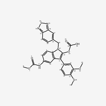 COC(=O)Nc1ccc2c(c1)c(-c1ccc(OC)c(OC)c1)c(OC(=O)O)n2Cc1ccc2nsnc2c1